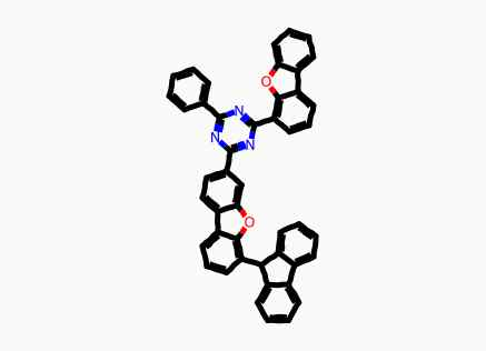 c1ccc(-c2nc(-c3ccc4c(c3)oc3c(C5c6ccccc6-c6ccccc65)cccc34)nc(-c3cccc4c3oc3ccccc34)n2)cc1